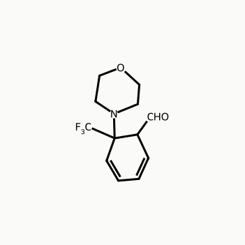 O=CC1C=CC=CC1(N1CCOCC1)C(F)(F)F